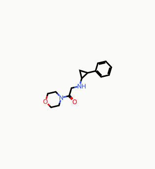 O=C(CNC1CC1c1ccccc1)N1CCOCC1